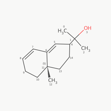 CC(C)(O)C1C=C2C=CCC[C@@]2(C)CC1